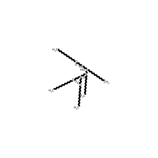 CCCCCCCCCCCCCCCOC(=O)CCCNCC(O)CN(CCCCCCCCCCCCCC)CCN(CCCCCCCCCCCCCC)CC(O)CN(CCCC(=O)OCCCCCCCCCCCCCCC)CCCC(=O)OCCCCCCCCCCCCCCC